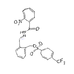 O=C(N/N=C/c1ccccc1OS(=O)(=O)c1ccc(C(F)(F)F)cc1)c1ccccc1[N+](=O)[O-]